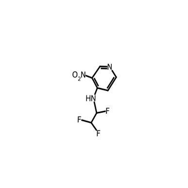 O=[N+]([O-])c1cnccc1NC(F)C(F)F